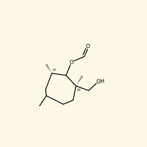 CC1CC[C@](C)(CO)C(OC=O)[C@@H](C)C1